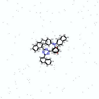 c1ccc(-c2nc(-c3cccc4ccccc34)nc(-c3c4c(cc5ccccc35)Cc3ccc(-n5c6ccccc6c6cc7ccccc7cc65)cc3-4)n2)cc1